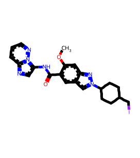 COc1cc2nn(C3CCC(CI)CC3)cc2cc1C(=O)Nc1cnc2cccnn12